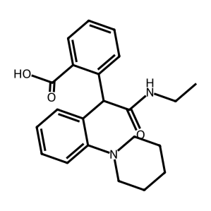 CCNC(=O)C(c1ccccc1C(=O)O)c1ccccc1N1CCCCC1